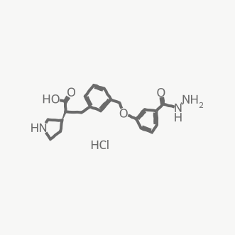 Cl.NNC(=O)c1cccc(OCc2cccc(CC(C(=O)O)[C@H]3CCNC3)c2)c1